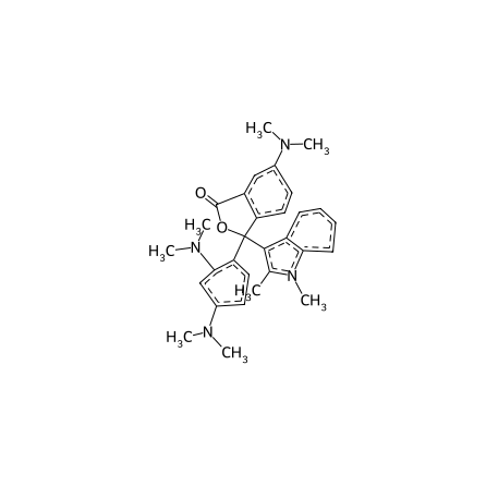 Cc1c(C2(c3ccc(N(C)C)cc3N(C)C)OC(=O)c3cc(N(C)C)ccc32)c2ccccc2n1C